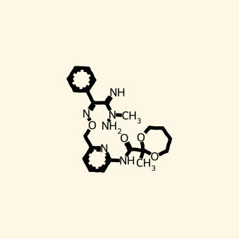 CN(N)C(=N)/C(=N\OCc1cccc(NC(=O)C2(C)OCCCCO2)n1)c1ccccc1